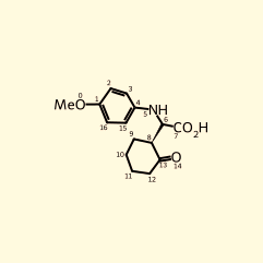 COc1ccc(NC(C(=O)O)[C@@H]2CCCCC2=O)cc1